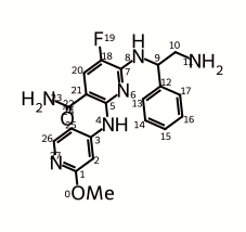 COc1cc(Nc2nc(NC(CN)c3ccccc3)c(F)cc2C(N)=O)ccn1